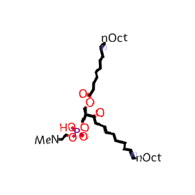 CCCCCCCC/C=C/CCCCCCCC(=O)OCC(COP(=O)(O)OCCNC)C(=O)CCCCCCC/C=C/CCCCCCCC